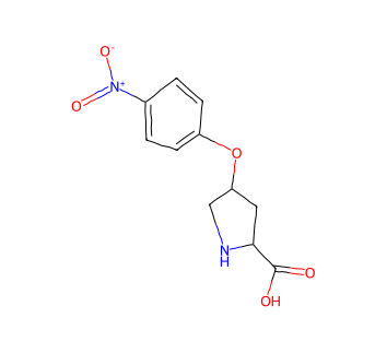 O=C(O)C1CC(Oc2ccc([N+](=O)[O-])cc2)CN1